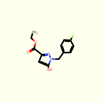 CCOC(=O)c1cc(O)n(Cc2ccc(F)cc2)n1